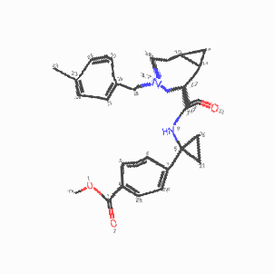 COC(=O)c1ccc(C2(NC(=O)C3C4CC4CN3Cc3ccc(C)cc3)CC2)cc1